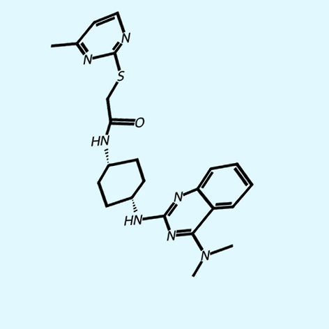 Cc1ccnc(SCC(=O)N[C@H]2CC[C@@H](Nc3nc(N(C)C)c4ccccc4n3)CC2)n1